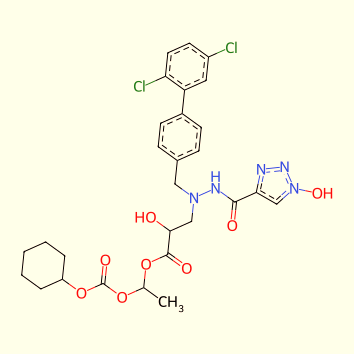 CC(OC(=O)OC1CCCCC1)OC(=O)C(O)CN(Cc1ccc(-c2cc(Cl)ccc2Cl)cc1)NC(=O)c1cn(O)nn1